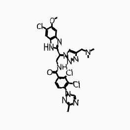 COc1cc2nc(C(CNC(=O)c3ccc(-n4cnc(C)n4)c(Cl)c3Cl)n3cc(CN(C)C)nn3)[nH]c2cc1Cl